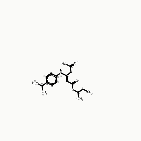 CCC(C)OC(=O)C=C(CC(=O)O)Nc1ccc(C(C)C)cc1